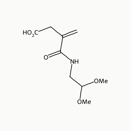 C=C(CC(=O)O)C(=O)NCC(OC)OC